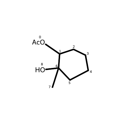 CC(=O)OC1CCCCC1(C)O